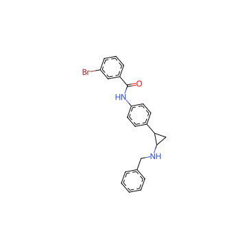 O=C(Nc1ccc(C2CC2NCc2ccccc2)cc1)c1cccc(Br)c1